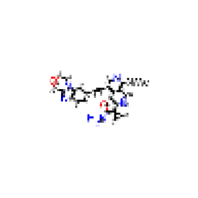 CNc1ncc(C#Cc2ccc3nc4n(c3c2)CCOC4)c2cc(C3(C(N)=O)CC3)ncc12